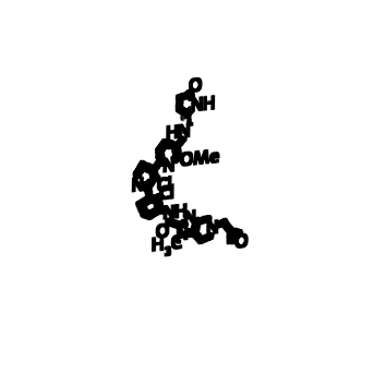 COc1nc(-c2ccnc(-c3cccc(NC(=O)c4nc5c(n4C)CCN(CC4COC4)C5)c3Cl)c2Cl)ccc1CNC[C@@H]1CCC(=O)N1